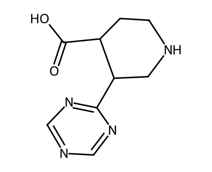 O=C(O)C1CCNCC1c1ncncn1